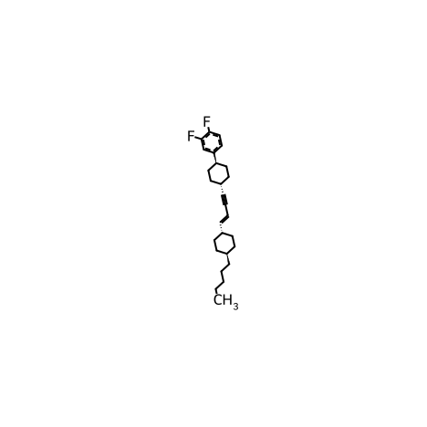 CCCCC[C@H]1CC[C@H](C=CC#C[C@H]2CC[C@H](c3ccc(F)c(F)c3)CC2)CC1